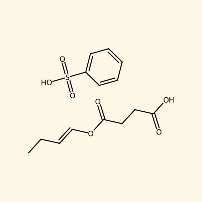 CCC=COC(=O)CCC(=O)O.O=S(=O)(O)c1ccccc1